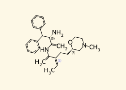 C=C(NC(=C)[C@@H](N)C(c1ccccc1)c1ccccc1)/C(=C\C)CC[C@@H]1CN(C)CCO1